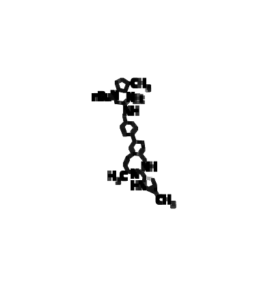 CCCCN(C/C(=N/CC)NCC1C=CC(C2C=C3/C=C\C(C)/N=C(/[C@@H]4CC5C(C)C5N4)NCC3=CC2)=CC1)[C@@H]1CC[C@@H](C)C1